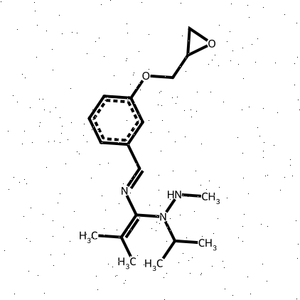 CNN(C(/N=C/c1cccc(OCC2CO2)c1)=C(C)C)C(C)C